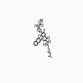 CC(C)/C=N/CCCNC(=O)c1cn2c3c(c(N4CC[C@@H](NC(=O)OC(C)(C)C)C4)c(F)cc3c1=O)Oc1cc3ccccc3cc1-2